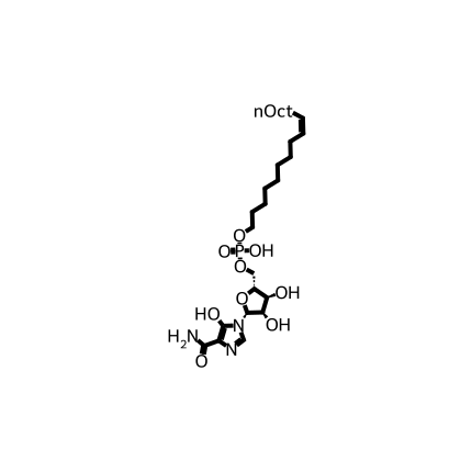 CCCCCCCC/C=C\CCCCCCCCOP(=O)(O)OC[C@H]1O[C@@H](n2cnc(C(N)=O)c2O)[C@H](O)[C@@H]1O